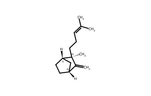 C=C1[C@@H]2CC[C@@H](C2)[C@@]1(C)CCC=C(C)C